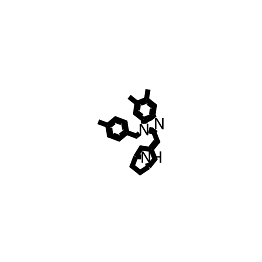 Cc1ccc(Cn2c(C=C3CC4CCC(C3)N4)nc3cc(C)c(C)cc32)cc1